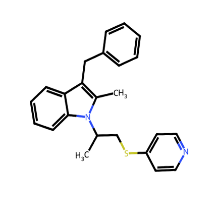 Cc1c(Cc2ccccc2)c2ccccc2n1C(C)CSc1ccncc1